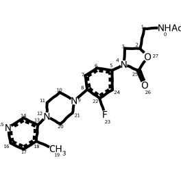 CC(=O)NCC1CN(c2ccc(N3CCN(c4cnccc4C)CC3)c(F)c2)C(=O)O1